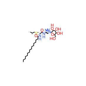 [CH2][CH]CSC[C@@H](NC(=O)CCCCCCCCCCCCCCC)C(=O)Nc1cn(C2OC(CO)C(O)C(O)C2O)nn1